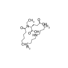 CCCCCC(=O)N(CC)[C@@H](CCC(=O)O)C(=O)O.CCCCNCCCC